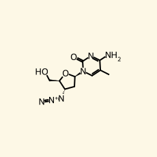 Cc1cn([C@H]2C[C@H](N=[N+]=[N-])[C@@H](CO)O2)c(=O)nc1N